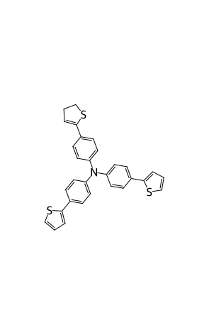 C1=C(c2ccc(N(c3ccc(-c4cccs4)cc3)c3ccc(-c4cccs4)cc3)cc2)SCC1